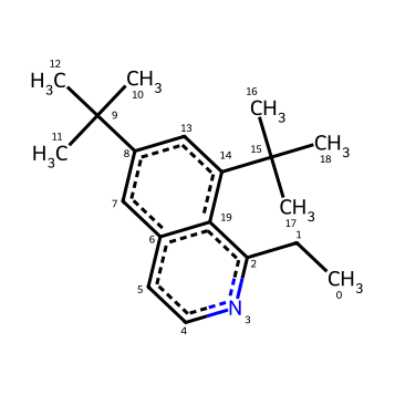 CCc1nccc2cc(C(C)(C)C)cc(C(C)(C)C)c12